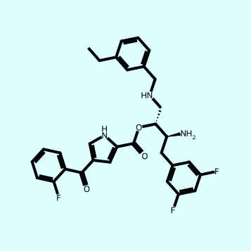 CCc1cccc(CNC[C@@H](OC(=O)c2cc(C(=O)c3ccccc3F)c[nH]2)[C@@H](N)Cc2cc(F)cc(F)c2)c1